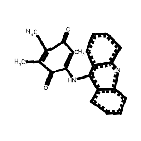 CC1=C(C)C(=O)C(Nc2c3ccccc3nc3ccccc23)=C(C)C1=O